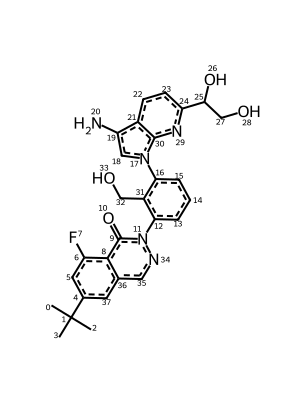 CC(C)(C)c1cc(F)c2c(=O)n(-c3cccc(-n4cc(N)c5ccc(C(O)CO)nc54)c3CO)ncc2c1